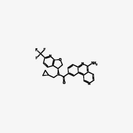 Nc1nc2ccc(C(=O)N(CC3CC3)[C@@H]3COc4nc(C(F)(F)F)ccc43)cc2c2cnccc12